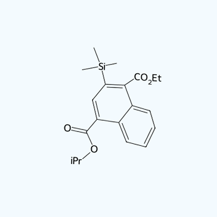 CCOC(=O)c1c([Si](C)(C)C)cc(C(=O)OC(C)C)c2ccccc12